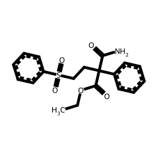 CCOC(=O)C(CCS(=O)(=O)c1ccccc1)(C(N)=O)c1ccccc1